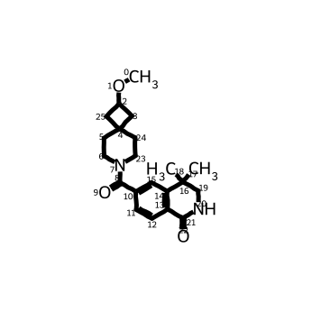 COC1CC2(CCN(C(=O)c3ccc4c(c3)C(C)(C)CNC4=O)CC2)C1